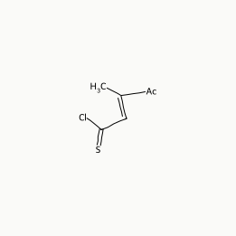 CC(=O)C(C)=CC(=S)Cl